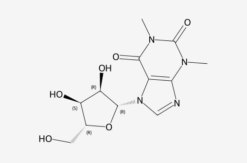 Cn1c(=O)c2c(ncn2[C@@H]2O[C@H](CO)[C@@H](O)[C@H]2O)n(C)c1=O